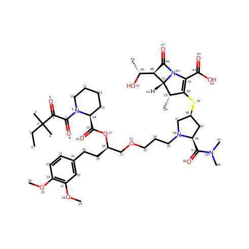 CCC(C)(C)C(=O)C(=O)N1CCCC[C@H]1C(=O)O[C@H](CCc1ccc(OC)c(OC)c1)COCCCN1C[C@@H](SC2=C(C(=O)O)N3C(=O)[C@H]([C@@H](C)O)[C@H]3[C@H]2C)C[C@H]1C(=O)N(C)C